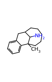 CC12CCCCCC(Cc3ccccc31)C2N